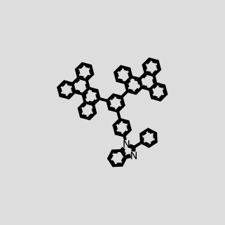 c1ccc(-c2nc3ccccc3n2-c2ccc(-c3cc(-c4cc5c6ccccc6c6ccccc6c5c5ccccc45)cc(-c4cc5c6ccccc6c6ccccc6c5c5ccccc45)c3)cc2)cc1